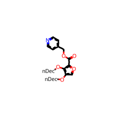 CCCCCCCCCCOc1coc(C(=O)OCc2ccncc2)c1OCCCCCCCCCC